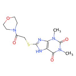 Cn1c(=O)c2[nH]c(SCC(=O)N3CCOCC3)nc2n(C)c1=O